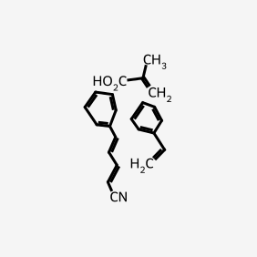 C=C(C)C(=O)O.C=Cc1ccccc1.N#CC=CC=Cc1ccccc1